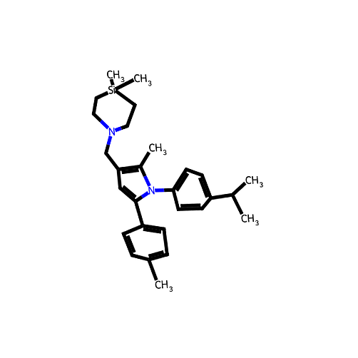 Cc1ccc(-c2cc(CN3CC[Si](C)(C)CC3)c(C)n2-c2ccc(C(C)C)cc2)cc1